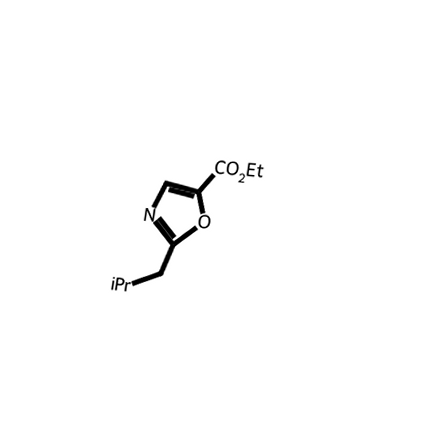 CCOC(=O)c1cnc(CC(C)C)o1